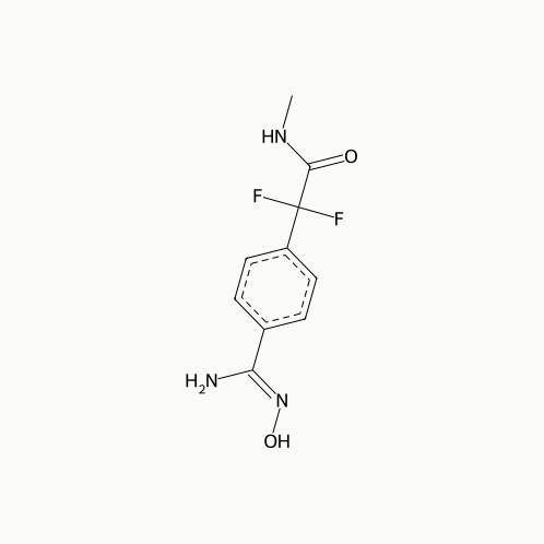 CNC(=O)C(F)(F)c1ccc(/C(N)=N/O)cc1